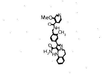 COc1cnccc1C(=O)NCc1ccc(-c2nn3c(c2C(N)=O)Nc2ccccc2CC3)cc1C